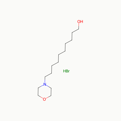 Br.OCCCCCCCCCCN1CCOCC1